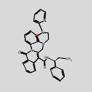 CC[C@H](NC(=O)c1c(CN2CCN(c3ccccn3)CC2)n(-c2ccccc2)c(=O)c2ccccc12)c1ccccc1